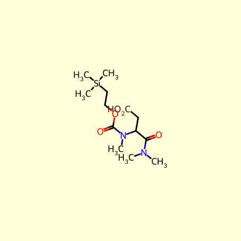 CN(C)C(=O)C(CC(=O)O)N(C)C(=O)OCC[Si](C)(C)C